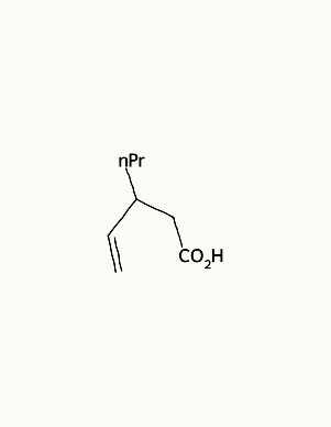 [CH2]CCC(C=C)CC(=O)O